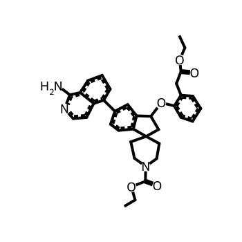 CCOC(=O)Cc1ccccc1OC1CC2(CCN(C(=O)OCC)CC2)c2ccc(-c3cccc4c(N)nccc34)cc21